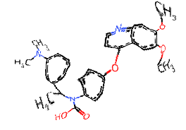 COc1cc2nccc(Oc3ccc(N(C(=O)O)C(C)c4cccc(N(C)C)c4)cc3)c2cc1OC